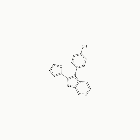 Oc1ccc(-n2c(-c3ccco3)nc3ccccc32)cc1